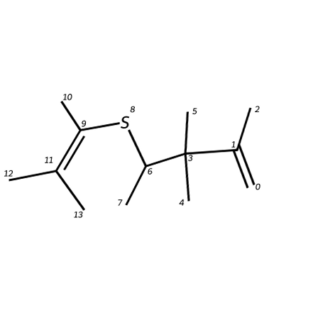 C=C(C)C(C)(C)C(C)SC(C)=C(C)C